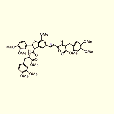 COC(=O)C(Cc1ccc(OC)c(OC)c1)NC(=O)/C=C/c1cc(OC)c2c(c1)C(C(=O)NC(Cc1ccc(OC)c(OC)c1)C(=O)OC)C(c1ccc(OC)c(OC)c1)O2